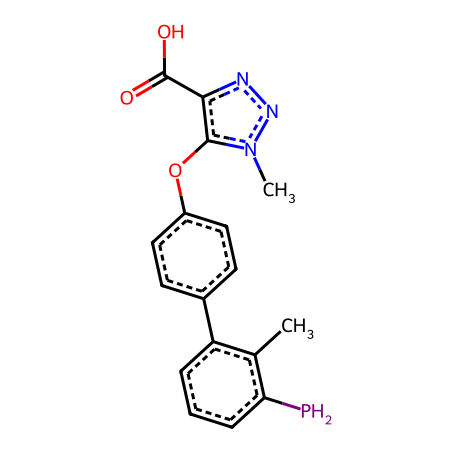 Cc1c(P)cccc1-c1ccc(Oc2c(C(=O)O)nnn2C)cc1